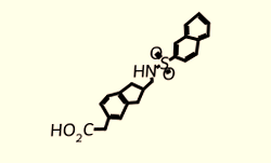 O=C(O)Cc1ccc2c(c1)CC(CNS(=O)(=O)c1ccc3ccccc3c1)C2